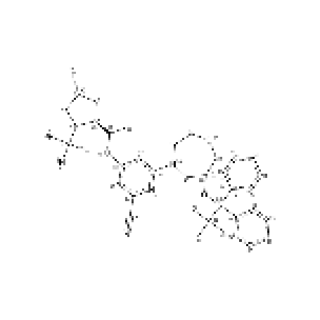 [2H]C([2H])([2H])N1C[C@H](F)C[C@H]1C(C)Oc1nc(C#N)nc(N2CCOC[C@@](C)(O[Si](c3ccccc3)(c3ccccc3)C(C)(C)C)C2)n1